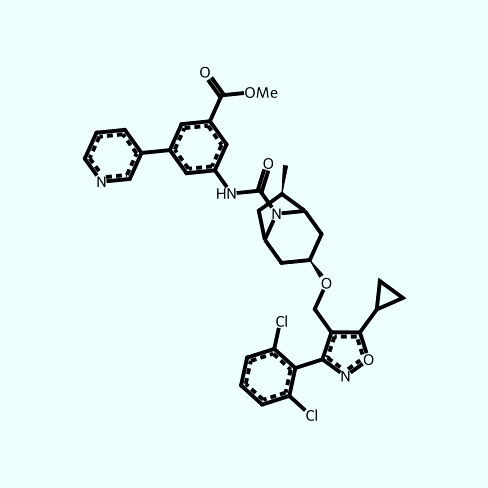 COC(=O)c1cc(NC(=O)N2C3C[C@H](OCc4c(-c5c(Cl)cccc5Cl)noc4C4CC4)CC2[C@H](C)C3)cc(-c2cccnc2)c1